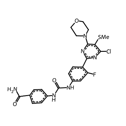 CSc1c(Cl)nc(-c2ccc(NC(=O)Nc3ccc(C(N)=O)cc3)cc2F)nc1N1CCOCC1